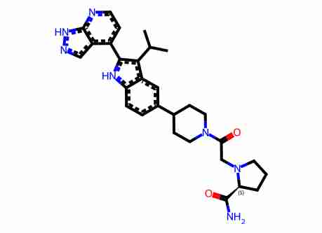 CC(C)c1c(-c2ccnc3[nH]ncc23)[nH]c2ccc(C3CCN(C(=O)CN4CCC[C@H]4C(N)=O)CC3)cc12